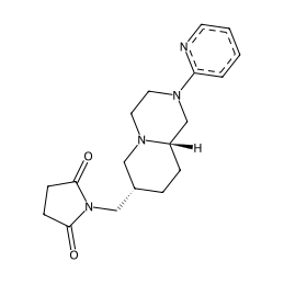 O=C1CCC(=O)N1C[C@H]1CC[C@H]2CN(c3ccccn3)CCN2C1